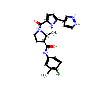 Cc1cc(NC(=O)[C@H]2CCN(C(=O)c3ccc(-c4ccnnc4)[nH]3)[C@H]2C)ccc1F